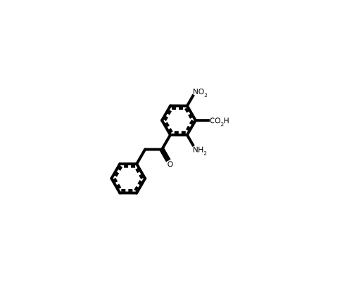 Nc1c(C(=O)Cc2ccccc2)ccc([N+](=O)[O-])c1C(=O)O